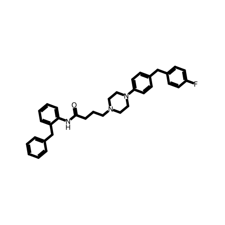 O=C(CCCN1CCN(c2ccc(Cc3ccc(F)cc3)cc2)CC1)Nc1ccccc1Cc1ccccc1